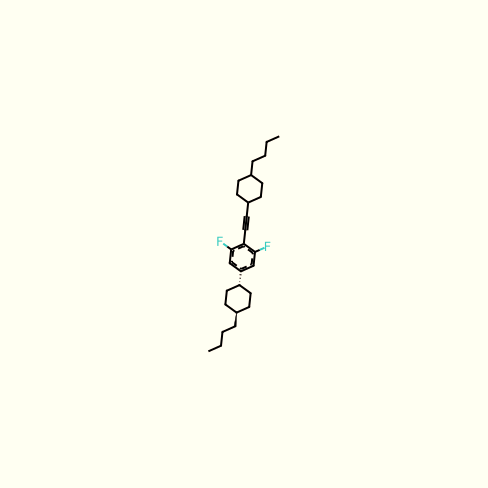 CCCCC1CCC(C#Cc2c(F)cc([C@H]3CC[C@H](CCCC)CC3)cc2F)CC1